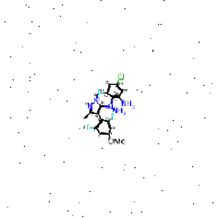 COc1cc(F)c(-c2c(C)nn(C)c2N(N)c2c(N)cc(Cl)cc2F)c(F)c1